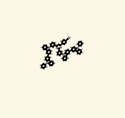 N#Cc1ccc(-c2cc(-c3cccc(-n4c5ccccc5c5cc(-c6ccc7c(c6)c6ccccc6n7-c6ccccc6)ccc54)c3)nc(-c3cccc(-n4c5ccccc5c5cc(-c6ccc7c(c6)c6ccccc6n7-c6ccccc6)ccc54)c3)n2)cc1